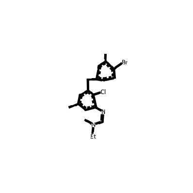 CCN(C)/C=N\c1cc(C)cc(Cc2ccc(Br)c(C)c2)c1Cl